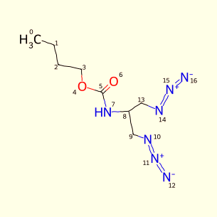 CCCCOC(=O)NC(CN=[N+]=[N-])CN=[N+]=[N-]